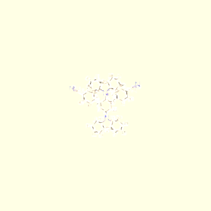 N#Cc1ccc(-c2cc(-n3c4ccccc4c4ccccc43)cc(-c3ccc(C#N)cc3)c2-n2c3ccccc3c3ccccc32)cc1